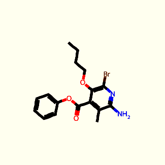 CCCCOc1c(Br)nc(N)c(C)c1C(=O)Oc1ccccc1